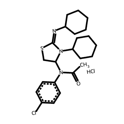 CC(=O)N(c1ccc(Cl)cc1)C1CSC(=NC2CCCCC2)N1C1CCCCC1.Cl